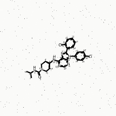 CC(C)NC(=O)N1CCC(Nc2ncnc3c2nc(-c2ccccc2Cl)n3-c2ccc(Cl)cc2)CC1